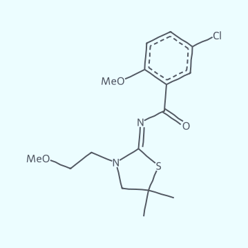 COCCN1CC(C)(C)SC1=NC(=O)c1cc(Cl)ccc1OC